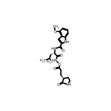 COc1cccc2[nH]c(C(=O)N[C@@H](CC(C)C)C(=O)NOC(=O)CC[C@H]3CCNC3=O)cc12